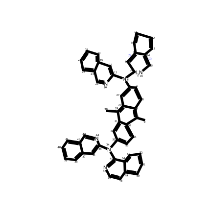 Cc1c2ccc(N(C/C=c3/cccc/c3=C/N)c3cc4ccccc4cn3)cc2c(C)c2cc(N(c3cc4ccccc4cn3)c3nccc4ccccc34)ccc12